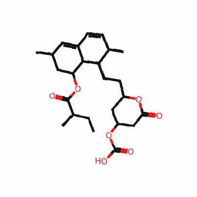 CCC(C)C(=O)OC1CC(C)C=C2C=CC(C)C(CCC3CC(OC(=O)O)CC(=O)O3)C21